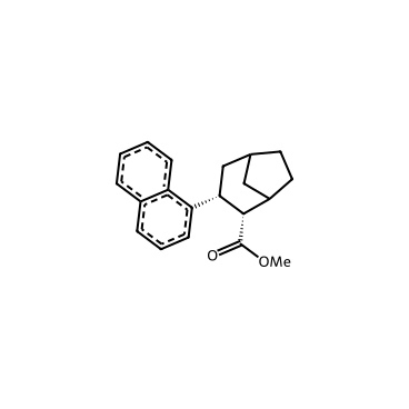 COC(=O)[C@H]1C2CCC(C2)C[C@H]1c1cccc2ccccc12